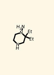 CCC1(CC)CNCCN1N